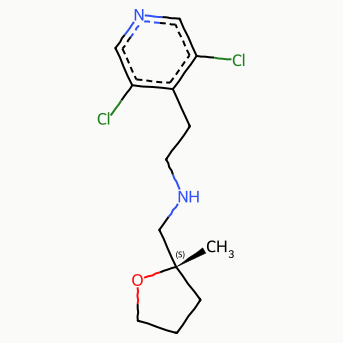 C[C@@]1(CNCCc2c(Cl)cncc2Cl)CCCO1